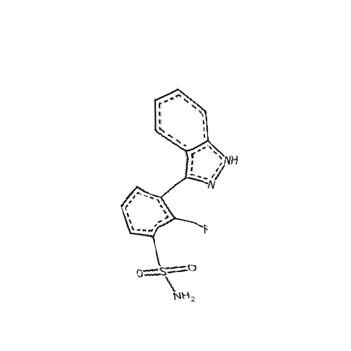 NS(=O)(=O)c1cccc(-c2n[nH]c3ccccc23)c1F